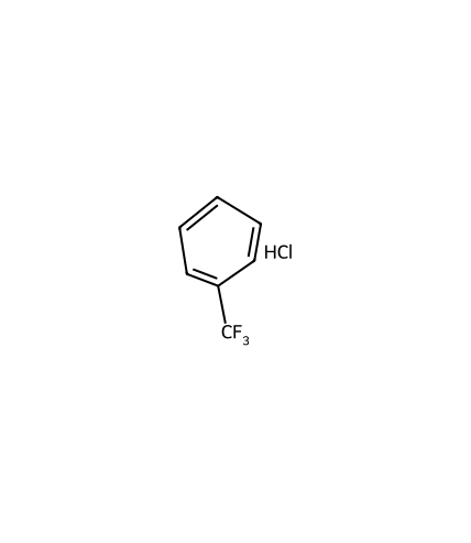 Cl.FC(F)(F)c1ccccc1